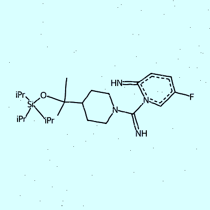 CC(C)[Si](OC(C)(C)C1CCN(C(=N)n2cc(F)ccc2=N)CC1)(C(C)C)C(C)C